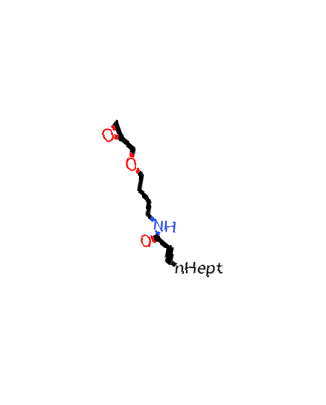 CCCCCCCC=CC(=O)NCCCCOCC1CO1